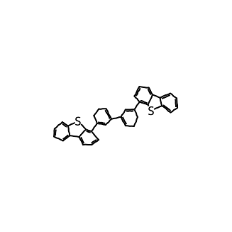 C1=C(C2=CCCC(c3cccc4c3sc3ccccc34)=C2)C=C(c2cccc3c2sc2ccccc23)CC1